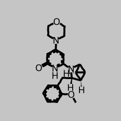 COc1ccccc1C[C@H]1[C@@H]2C3C([C@@H]32)N1c1cc(N2CCOCC2)cc(=O)[nH]1